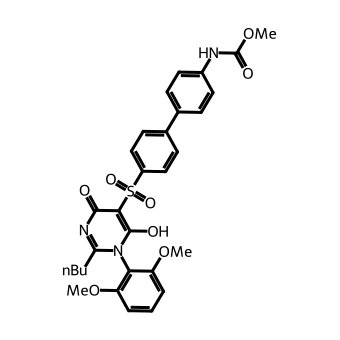 CCCCc1nc(=O)c(S(=O)(=O)c2ccc(-c3ccc(NC(=O)OC)cc3)cc2)c(O)n1-c1c(OC)cccc1OC